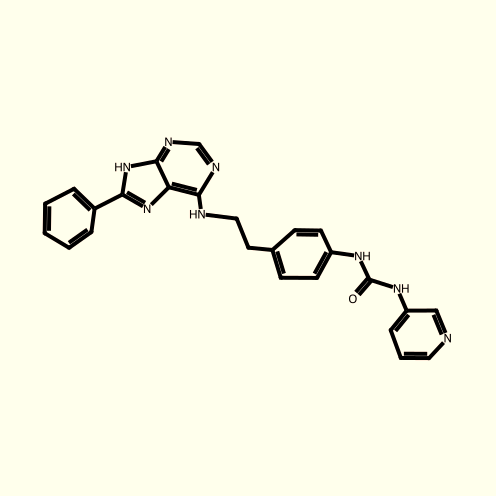 O=C(Nc1ccc(CCNc2ncnc3[nH]c(-c4ccccc4)nc23)cc1)Nc1cccnc1